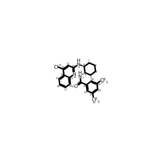 O=C(N[C@H]1CCCC[C@@H]1Nc1cc(Cl)c2ccccc2n1)c1cc(C(F)(F)F)cc(C(F)(F)F)c1